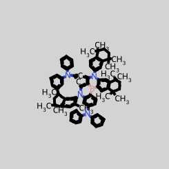 Cc1cc2c3cc1N1c4cc(N(c5ccccc5)c5ccccc5)ccc4B4c5cc6c(cc5N(c5ccc7c(c5)C(C)(C)CCC7(C)C)c5cc(cc1c54)N(c1ccccc1)c1cccc(c1)C3(C)CC2(C)C)C(C)(C)CCC6(C)C